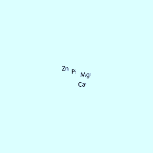 [Ca].[Mg].[P].[Zn]